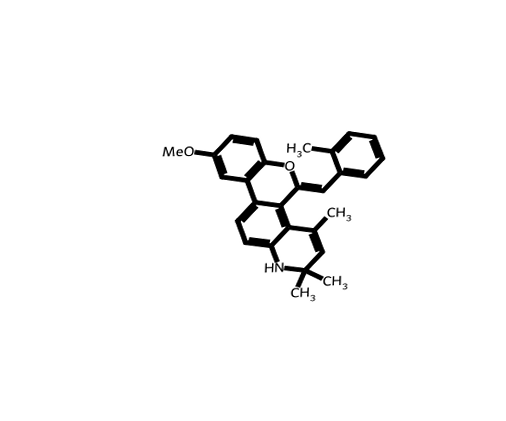 COc1ccc2c(c1)-c1ccc3c(c1/C(=C/c1ccccc1C)O2)C(C)=CC(C)(C)N3